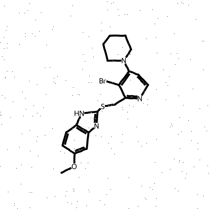 COc1ccc2[nH]c(SCc3nccc(N4CCCCC4)c3Br)nc2c1